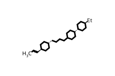 C/C=C/[C@H]1CC[C@H](CCCCC2CCC([C@H]3CC[C@H](CC)CC3)CC2)CC1